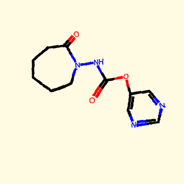 O=C(NN1CCCCCC1=O)Oc1cncnc1